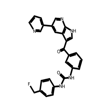 O=C(Nc1ccc(CF)cc1)Nc1cccc(C(=O)c2c[nH]c3ncc(-c4cccnc4)cc23)c1